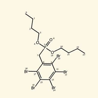 CCCCOP(=O)(Cc1c(Br)c(Br)c(Br)c(Br)c1Br)OCCCC